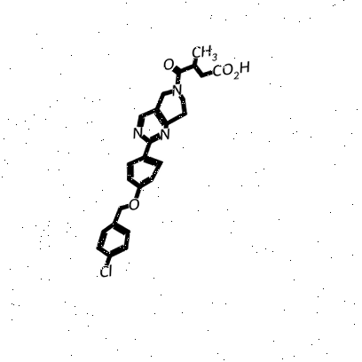 CC(CC(=O)O)C(=O)N1CCc2nc(-c3ccc(OCc4ccc(Cl)cc4)cc3)ncc2C1